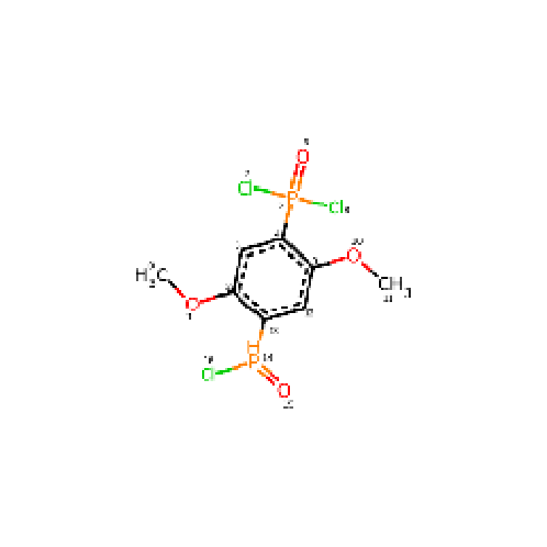 COc1cc(P(=O)(Cl)Cl)c(OC)cc1[PH](=O)Cl